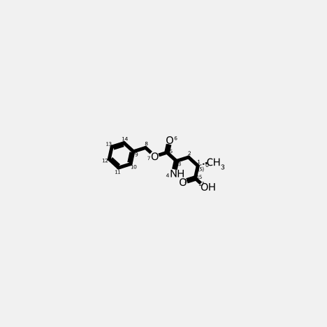 C[C@@H](CC(=N)C(=O)OCc1ccccc1)C(=O)O